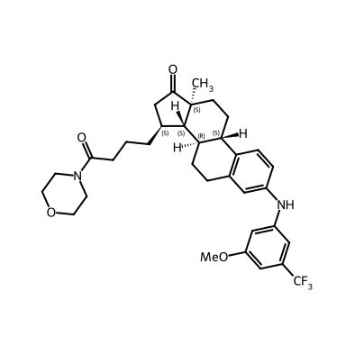 COc1cc(Nc2ccc3c(c2)CC[C@H]2[C@@H]4[C@@H](CCCC(=O)N5CCOCC5)CC(=O)[C@@]4(C)CC[C@H]32)cc(C(F)(F)F)c1